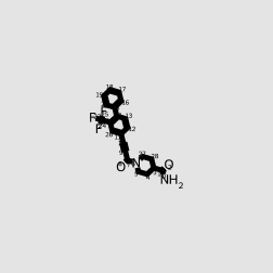 NC(=O)C1CCN(C(=O)C#Cc2ccc(-c3ccccc3)c(C(F)(F)F)c2)CC1